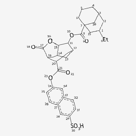 CCC1CC2CCCC(C(=O)OC3C4CC5C3OC(=O)C5C4C(=O)Oc3ccc4cc(S(=O)(=O)O)ccc4c3)(C1)C2